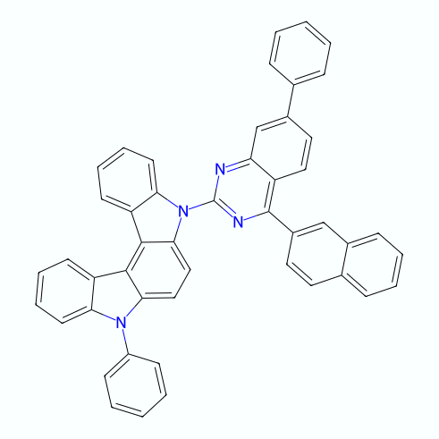 c1ccc(-c2ccc3c(-c4ccc5ccccc5c4)nc(-n4c5ccccc5c5c6c7ccccc7n(-c7ccccc7)c6ccc54)nc3c2)cc1